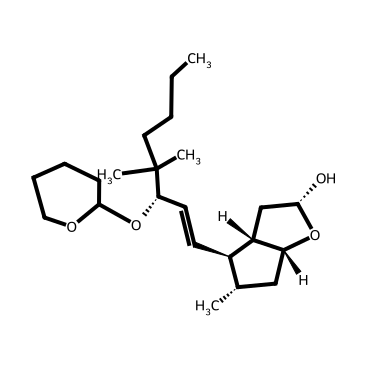 CCCCC(C)(C)[C@H](C=C[C@H]1[C@@H]2C[C@H](O)O[C@@H]2C[C@@H]1C)OC1CCCCO1